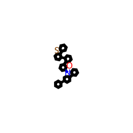 c1ccc(-c2ccc3c4ccccc4n(-c4cccc5c4oc4cccc(-c6cccc7sc8ccccc8c67)c45)c3c2)cc1